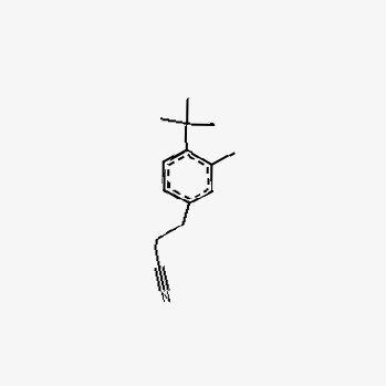 Cc1cc(CCC#N)ccc1C(C)(C)C